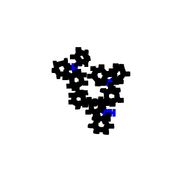 c1ccc(-n2c3ccccc3c3cc(-c4cccc(-c5cc(-c6cccc(-n7c8ccccc8c8ccccc87)c6)c6[nH]c7ccccc7c6c5)c4)ccc32)cc1